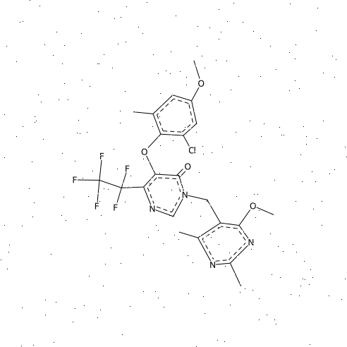 COc1cc(C)c(Oc2c(C(F)(F)C(F)(F)F)ncn(Cc3c(C)nc(C)nc3OC)c2=O)c(Cl)c1